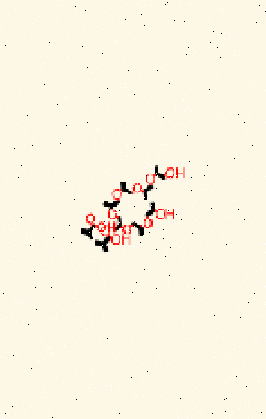 C=C(C)C(=O)O.C=C(C)C(=O)O.CC(O)COC(C)COC(C)COC(C)COC(C)COC(C)COC(C)CO